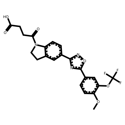 COc1ccc(-c2nc(-c3ccc4c(c3)CCN4C(=O)CCC(=O)O)no2)cc1OC(F)(F)F